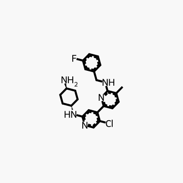 Cc1ccc(-c2cc(N[C@H]3CC[C@H](N)CC3)ncc2Cl)nc1NCc1cccc(F)c1